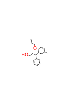 C=CCOc1ccc(C)cc1C(CCO)c1ccccc1